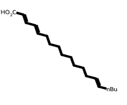 CCCCC=CCCCCCCCCC=CC=CC(=O)O